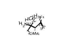 COCC(C)(N)CC(F)F.Cl